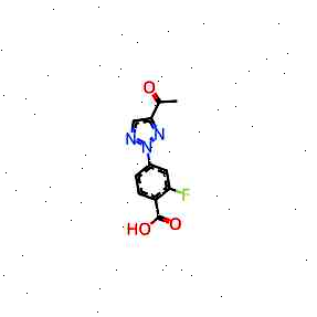 CC(=O)c1cnn(-c2ccc(C(=O)O)c(F)c2)n1